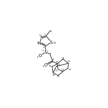 Cc1nnc([S+]([O-])CC(=O)C23CC4CC(CC(C4)C2)C3)s1